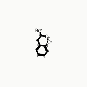 BrC1Cc2ccccc2OO1